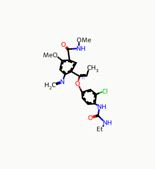 C=Nc1cc(OC)c(C(=O)NOC)cc1/C(=C\C)Oc1ccc(NC(=O)NCC)c(Cl)c1